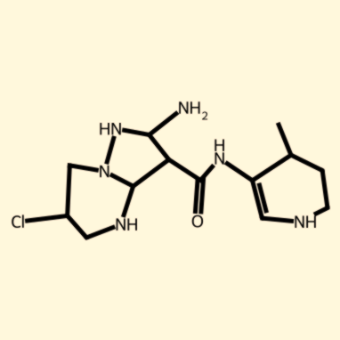 CC1CCNC=C1NC(=O)C1C(N)NN2CC(Cl)CNC12